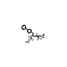 C[C@H](CC(Cc1ccc(-c2ccccc2)cc1)NC(=O)OC(C)(C)C)C(=O)NS(C)(=O)=O